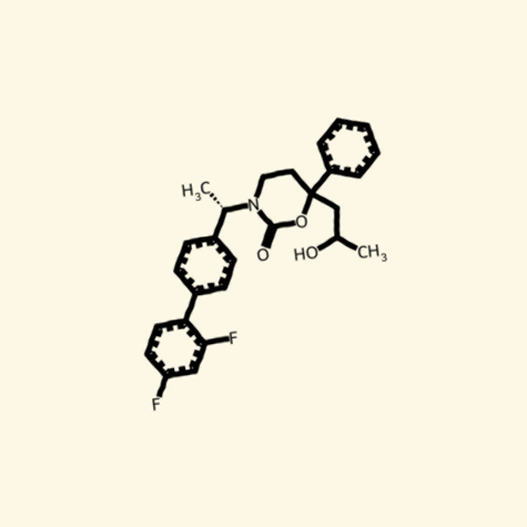 CC(O)CC1(c2ccccc2)CCN([C@@H](C)c2ccc(-c3ccc(F)cc3F)cc2)C(=O)O1